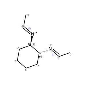 C/C=N/[C@@H]1CCCC[C@H]1/N=C/C